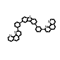 c1cc(-c2ccc3sc4ccc(-c5cccc(-c6ccc7ccc8cccnc8c7n6)c5)cc4c3c2)cc(-c2ccc3ccc4cccnc4c3n2)c1